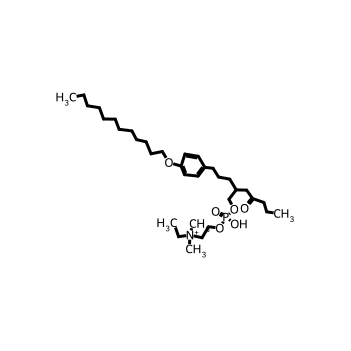 CCCCCCCCCCCCOc1ccc(CCCC(COP(=O)(O)OCC[N+](C)(C)CC)CC(=O)CCC)cc1